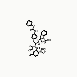 O=CC(=O)N(Nc1cc(Cl)ccc1-n1cnnn1)C(Cc1ccc(NC(=O)Oc2ccccc2)cc1)C(=O)NC1(C(=O)O)Cc2ccccc2N1C(=O)O